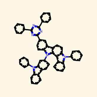 c1ccc(-c2nc(-c3ccccc3)nc(-c3ccc4c(c3)c3ccc5c(c6ccccc6n5-c5ccccc5)c3n4-c3ccc4c5ccccc5n(-c5ccccc5)c4c3)n2)cc1